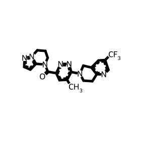 Cc1cc(C(=O)N2CCCn3nccc32)nnc1N1CCc2ncc(C(F)(F)F)cc2C1